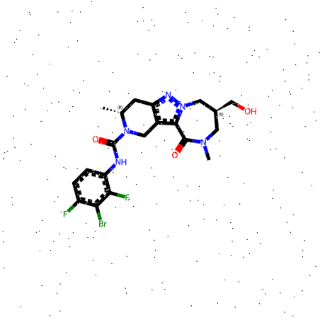 C[C@@H]1Cc2nn3c(c2CN1C(=O)Nc1ccc(F)c(Br)c1F)C(=O)N(C)C[C@H](CO)C3